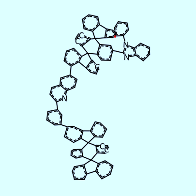 c1ccc(-n2c(-c3ccc4c(c3)C3(c5ccccc5-c5ccccc53)c3ccccc3C43c4ccccc4-c4c(-c5ccc6nc(-c7cccc(-c8ccc9c(c8)-c8ccccc8C98c9ccccc9C9(c%10ccccc%10-c%10ccccc%109)c9ccccc98)c7)ccc6c5)cccc43)nc3ccccc32)cc1